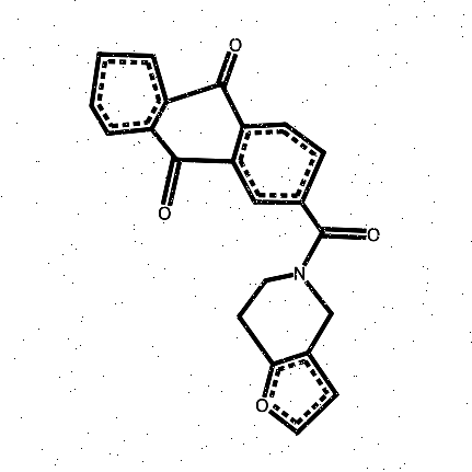 O=C1c2ccccc2C(=O)c2cc(C(=O)N3CCc4occc4C3)ccc21